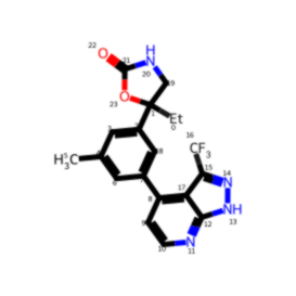 CCC1(c2cc(C)cc(-c3ccnc4[nH]nc(C(F)(F)F)c34)c2)CNC(=O)O1